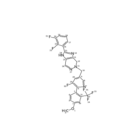 COc1ccc(-c2ncc(CN3Cc4nc(-c5cccc(F)c5F)[nH]c4C=N3)cc2F)c(C(F)(F)F)c1